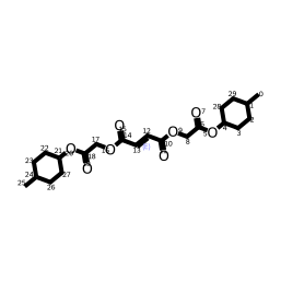 CC1CCC(OC(=O)COC(=O)/C=C/C(=O)OCC(=O)OC2CCC(C)CC2)CC1